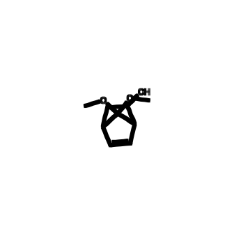 COC1(OC)C2C=CC1C(O)C2